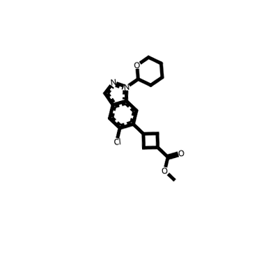 COC(=O)C1CC(c2cc3c(cnn3C3CCCCO3)cc2Cl)C1